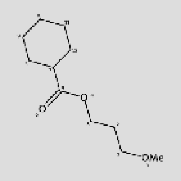 COCCCOC(=O)C1CCCCC1